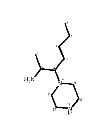 CCCCC(C(C)N)N1CCNCC1